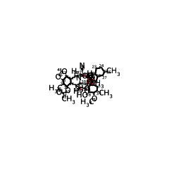 COc1c(C)cc2c(c1O)[C@H]1[C@@H]3[C@@H]4SC[C@]5(NCCc6c5oc5ccc(C)cc65)C(=O)OC[C@@H](c5c6c(c(C)c(OC(C)=O)c54)OCO6)N3[C@@H](C#N)[C@H](C2)N1C